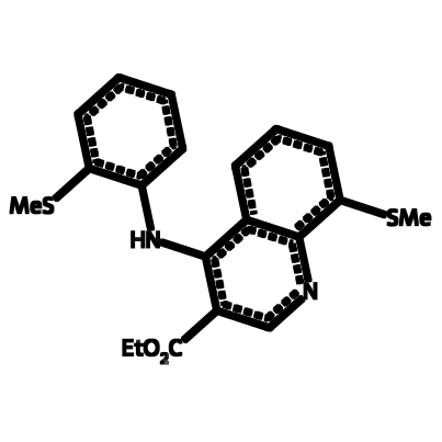 CCOC(=O)c1cnc2c(SC)cccc2c1Nc1ccccc1SC